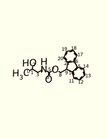 CC(O)CNC(=O)OCC1c2ccccc2-c2ccccc21